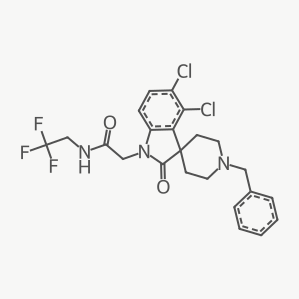 O=C(CN1C(=O)C2(CCN(Cc3ccccc3)CC2)c2c1ccc(Cl)c2Cl)NCC(F)(F)F